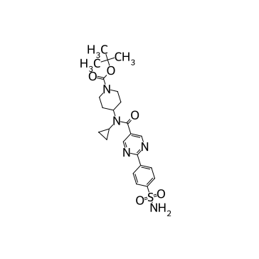 CC(C)(C)OC(=O)N1CCC(N(C(=O)c2cnc(-c3ccc(S(N)(=O)=O)cc3)nc2)C2CC2)CC1